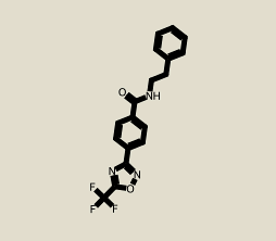 O=C(NCCc1ccccc1)c1ccc(-c2noc(C(F)(F)F)n2)cc1